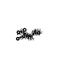 CCCC(NC(=O)[C@@H]1C[C@@H](OCc2ccccc2)CN1C(=O)C(NC(=O)c1cccc(C)c1C)C1CCCCC1)C(=O)C(=O)NCC(=O)NC(C(N)=O)c1ccccc1